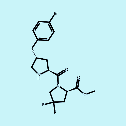 COC(=O)[C@H]1CC(F)(F)CN1C(=O)[C@@H]1C[C@@H](Cc2ccc(Br)cc2)CN1